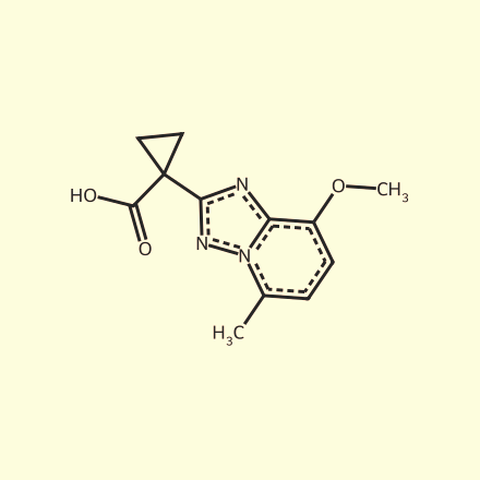 COc1ccc(C)n2nc(C3(C(=O)O)CC3)nc12